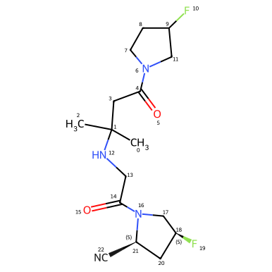 CC(C)(CC(=O)N1CCC(F)C1)NCC(=O)N1C[C@@H](F)C[C@H]1C#N